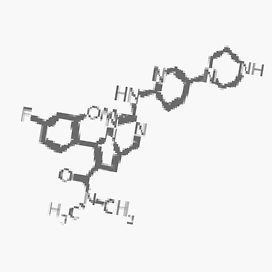 COc1cc(F)ccc1-c1c(C(=O)N(C)C)cc2cnc(Nc3ccc(N4CCNCC4)cn3)nn12